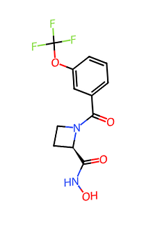 O=C(NO)[C@H]1CCN1C(=O)c1cccc(OC(F)(F)F)c1